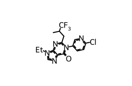 CCn1cnc2c(=O)n(-c3ccc(Cl)nc3)c(CC(C)C(F)(F)F)nc21